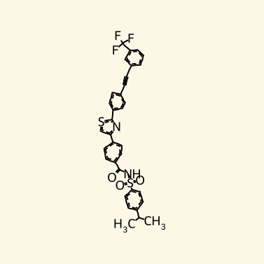 CC(C)c1ccc(S(=O)(=O)NC(=O)c2ccc(-c3csc(-c4ccc(C#Cc5cccc(C(F)(F)F)c5)cc4)n3)cc2)cc1